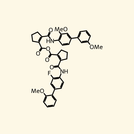 COc1cccc(-c2ccc(NC(=O)C3=C(C(=O)OC(=O)C4=C(C(=O)Nc5ccc(-c6ccccc6OC)cc5F)CCC4)CCC3)c(OC)c2)c1